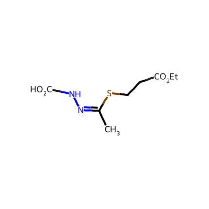 CCOC(=O)CCS/C(C)=N\NC(=O)O